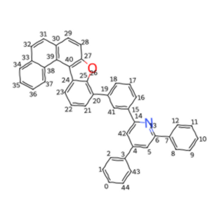 c1ccc(-c2cc(-c3ccccc3)nc(-c3cccc(-c4cccc5c4oc4ccc6ccc7ccccc7c6c45)c3)c2)cc1